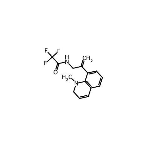 C=C(CNC(=O)C(F)(F)F)c1cccc2c1N(C)CC=C2